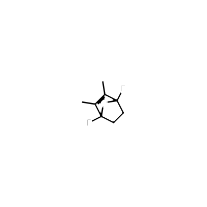 CC1=C(C)C2(F)CCC1(F)O2